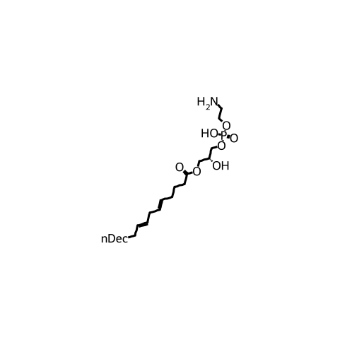 CCCCCCCCCCC/C=C/C/C=C/CCCC(=O)OC[C@@H](O)COP(=O)(O)OCCN